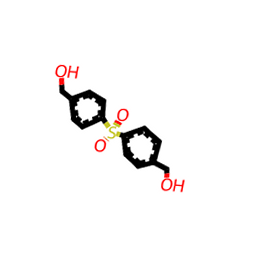 O=S(=O)(c1ccc(CO)cc1)c1ccc(CO)cc1